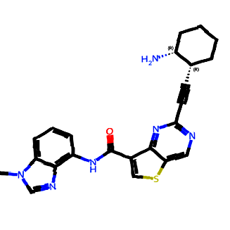 Cn1cnc2c(NC(=O)c3csc4cnc(C#C[C@H]5CCCC[C@H]5N)nc34)cccc21